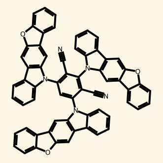 N#Cc1c(-n2c3ccccc3c3cc4oc5ccccc5c4cc32)cc(-n2c3ccccc3c3cc4oc5ccccc5c4cc32)c(C#N)c1-n1c2ccccc2c2cc3oc4ccccc4c3cc21